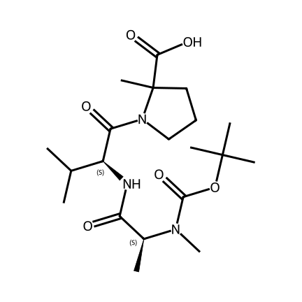 CC(C)[C@H](NC(=O)[C@H](C)N(C)C(=O)OC(C)(C)C)C(=O)N1CCCC1(C)C(=O)O